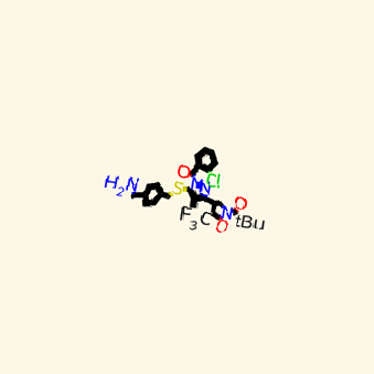 Cc1c(C2CN(C(=O)C(C)(C)C)C(=O)C2C(F)(F)F)nn(C(=O)c2ccccc2Cl)c1SCc1ccc(CN)cc1